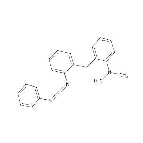 CN(C)c1ccccc1Cc1ccccc1N=C=Nc1ccccc1